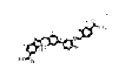 NC(=O)c1ccc(COc2cc(-c3ccc(Cc4nc5ccc(C(=O)O)cc5[nH]4)c(F)c3)ccc2F)c(F)c1